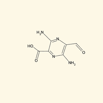 Nc1nc(C(=O)O)c(N)nc1C=O